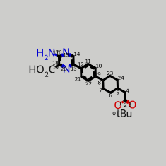 CC(C)(C)OC(=O)CC1CCC(c2ccc(-c3cnc(N)c(C(=O)O)n3)cc2)CC1